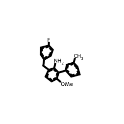 COc1ccc(Cc2ccc(F)cc2)c(N)c1-c1cccc(C)c1